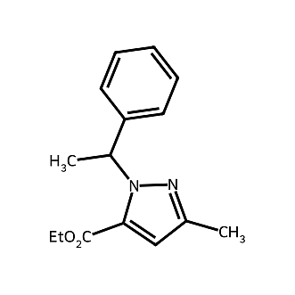 CCOC(=O)c1cc(C)nn1C(C)c1ccccc1